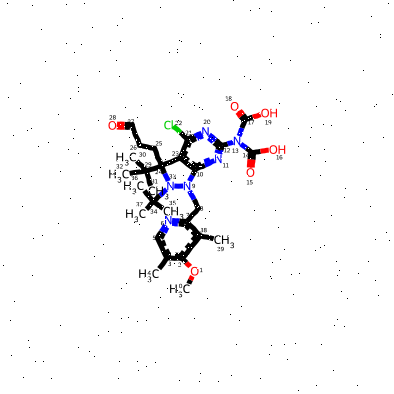 COc1c(C)cnc(CN2c3nc(N(C(=O)O)C(=O)O)nc(Cl)c3C(CCC=O)(C(C)(C)C)N2C(C)(C)C)c1C